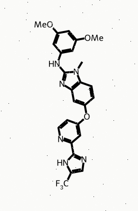 COc1cc(Nc2nc3cc(Oc4ccnc(-c5ncc(C(F)(F)F)[nH]5)c4)ccc3n2C)cc(OC)c1